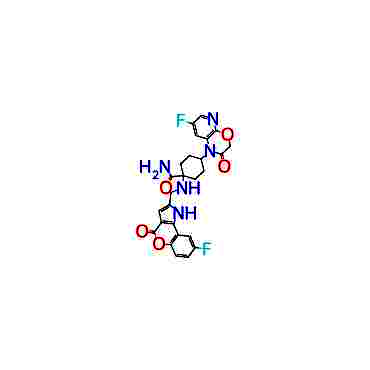 NC(=O)C1(NCc2cc3c(=O)oc4ccc(F)cc4c3[nH]2)CCC(N2C(=O)COc3ncc(F)cc32)CC1